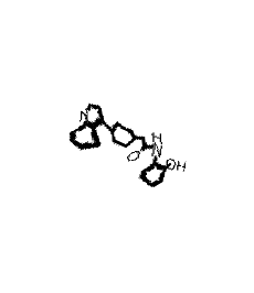 O=C(CC1CCC(c2ccnc3ccccc23)CC1)Nc1ccccc1O